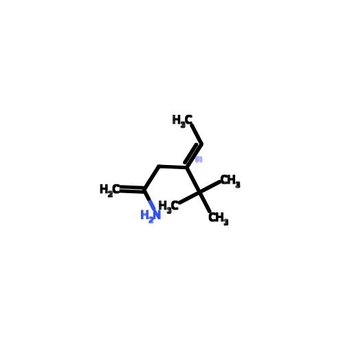 C=C(N)C/C(=C\C)C(C)(C)C